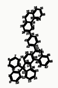 c1ccc(C2(c3ccccc3)c3ccccc3-c3c2ccc2c(-c4ccc(-c5ccc6ccc7cccnc7c6n5)cc4)nc4ccccc4c32)cc1